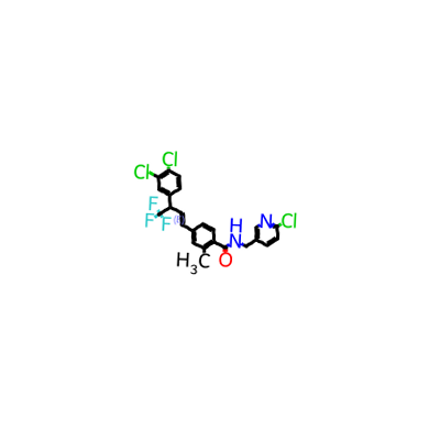 Cc1cc(/C=C/C(c2ccc(Cl)c(Cl)c2)C(F)(F)F)ccc1C(=O)NCc1ccc(Cl)nc1